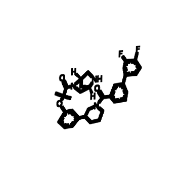 CC(C)(Oc1cccc(C2CCCN(C(=O)c3cccc(-c4ccc(F)c(F)c4)c3)C2)c1)C(=O)N1C[C@@H]2C[C@H]1CN2